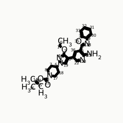 CCOc1nn(C2CCN(C(=O)OC(C)(C)C)CC2)cc1-c1cnc(N)c(-c2nc3ccccc3o2)c1